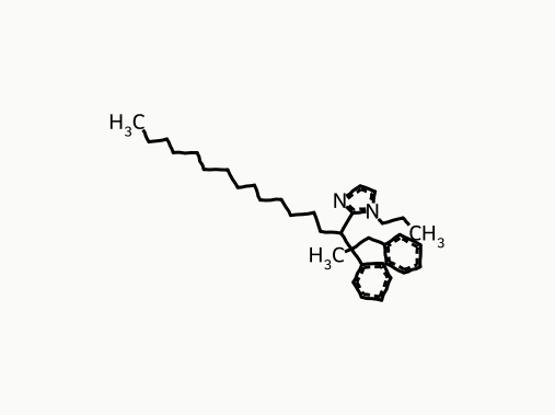 CCCCCCCCCCCCCCC(c1nccn1CCC)C(C)(Cc1ccccc1)c1ccccc1